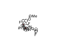 COCOc1cc(C2=C(F)C3=NC(OC[C@@]45CCCN4C[C@H](F)C5)=NN4CCCC(=C34)[C@H]3CON=C23)c2c(C#C[Si](C(C)C)(C(C)C)C(C)C)c(F)ccc2c1